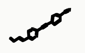 CCC=Cc1cnc(C#Cc2ccc(C#N)cc2)nc1